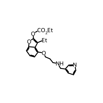 CCOC(=O)Oc1oc2cccc(OCCCNCc3cccnc3)c2c1CC